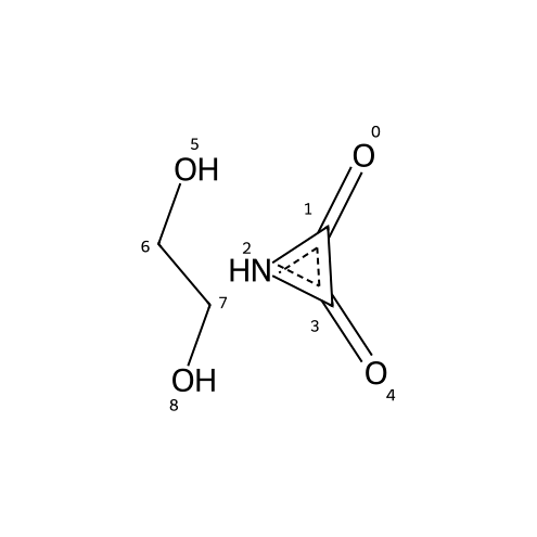 O=c1[nH]c1=O.OCCO